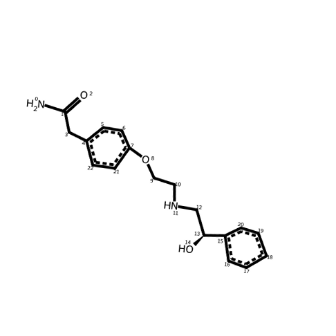 NC(=O)Cc1ccc(OCCNC[C@H](O)c2ccccc2)cc1